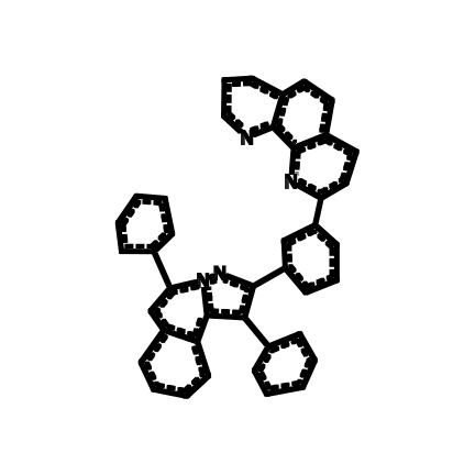 c1ccc(-c2c(-c3cccc(-c4ccc5ccc6cccnc6c5n4)c3)nn3c(-c4ccccc4)cc4ccccc4c23)cc1